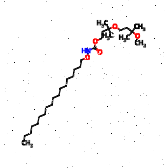 CCCCCCCCCCCCCCCCCCONC(=O)OCCC(C)(C)OCCC(C)(C)OC